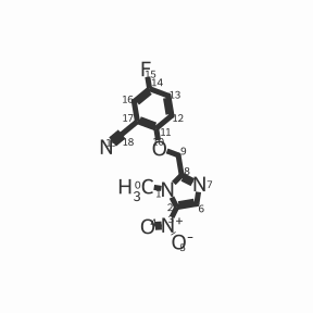 Cn1c([N+](=O)[O-])cnc1COc1ccc(F)cc1C#N